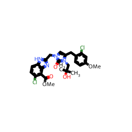 COC(=O)c1c(Cl)ccc2[nH]c(Cn3cc(Cc4ccc(OC)cc4Cl)n(CC(C)(C)O)c3=O)nc12